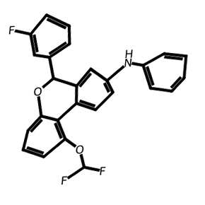 Fc1cccc(C2Oc3cccc(OC(F)F)c3-c3ccc(Nc4ccccc4)cc32)c1